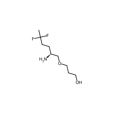 CC(F)(F)CC[C@H](N)COCCCO